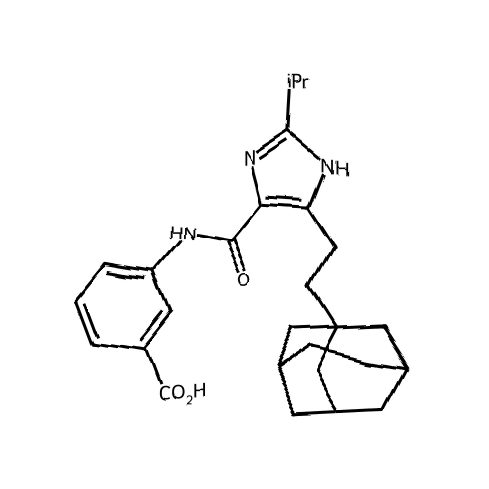 CC(C)c1nc(C(=O)Nc2cccc(C(=O)O)c2)c(CCC23CC4CC(CC(C4)C2)C3)[nH]1